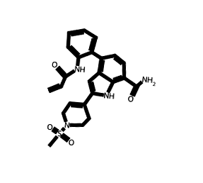 C=CC(=O)Nc1ccccc1-c1ccc(C(N)=O)c2[nH]c(C3=CCN(S(C)(=O)=O)CC3)cc12